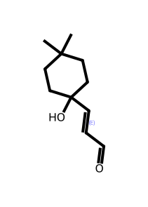 CC1(C)CCC(O)(/C=C/C=O)CC1